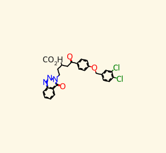 O=C(CC(CCn1nnc2ccccc2c1=O)C(=O)O)c1ccc(OCc2ccc(Cl)c(Cl)c2)cc1